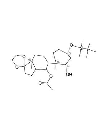 CC(=O)OC1C2CCC3(OCCO3)[C@@]2(C)CCC1[C@@]1(C)CC[C@H](O[Si](C)(C)C(C)(C)C)C[C@@H]1O